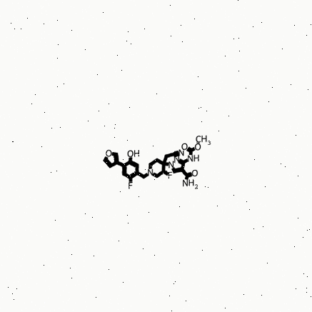 COC(=O)Nc1nn(C2(CC#N)CCN(Cc3cc(O)c(-c4ccoc4)cc3F)CC2F)cc1C(N)=O